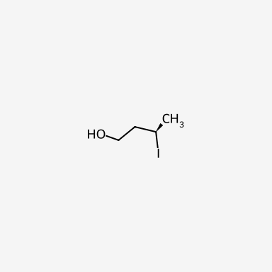 C[C@@H](I)CCO